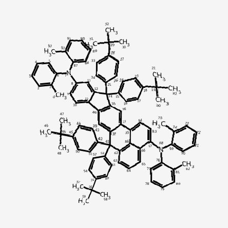 Cc1ccccc1N(c1ccc2c(c1)C(c1ccc(C(C)(C)C)cc1)(c1ccc(C(C)(C)C)cc1)c1cc3c(cc1-2)C(c1ccc(C(C)(C)C)cc1)(c1ccc(C(C)(C)C)cc1)c1cccc2c(N(c4ccccc4C)c4ccccc4C)ccc-3c12)c1ccccc1C